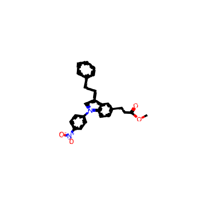 COC(=O)CCc1ccc2c(c1)c(CCc1ccccc1)cn2-c1ccc([N+](=O)[O-])cc1